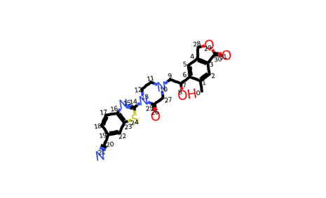 Cc1cc2c(cc1C(O)CN1CCN(c3nc4ccc(C#N)cc4s3)C(=O)C1)COC2=O